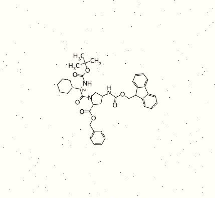 CC(C)(C)OC(=O)N[C@H](C(=O)N1CC(NC(=O)OCC2c3ccccc3-c3ccccc32)CC1C(=O)OCc1ccccc1)C1CCCCC1